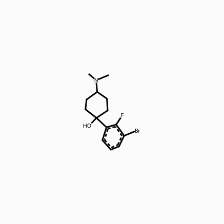 CN(C)C1CCC(O)(c2cccc(Br)c2F)CC1